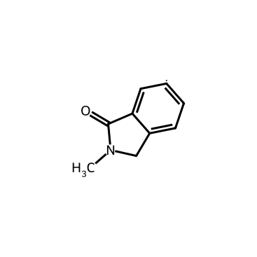 CN1Cc2cc[c]cc2C1=O